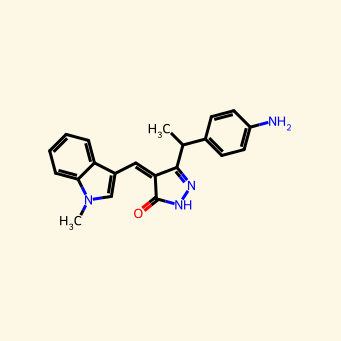 CC(C1=NNC(=O)C1=Cc1cn(C)c2ccccc12)c1ccc(N)cc1